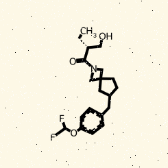 CC[C@H](CO)C(=O)N1CC2(CCC(Cc3ccc(OC(F)F)cc3)C2)C1